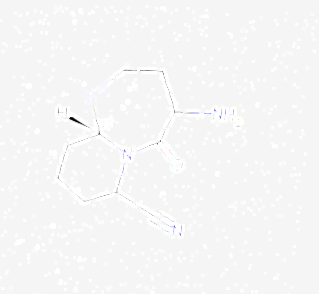 N#CC1CCC[C@@H]2SCCC(N)C(=O)N12